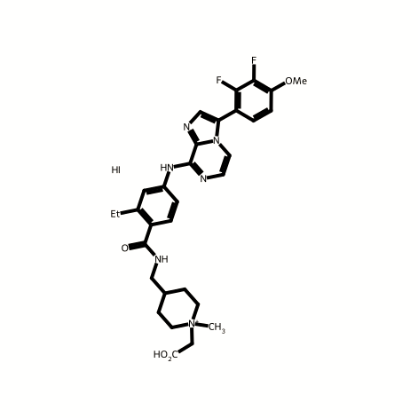 CCc1cc(Nc2nccn3c(-c4ccc(OC)c(F)c4F)cnc23)ccc1C(=O)NCC1CC[N+](C)(CC(=O)O)CC1.I